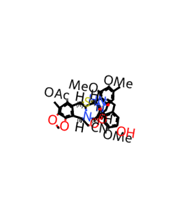 COc1cc2c(cc1O)CCN[C@]21CS[C@@H]2c3c(OC(C)=O)c(C)c4c(c3[C@H](COC1=O)N1C2[C@@H]2c3c(cc(C)c(OC)c3OC)C[C@H]([C@@H]1C#N)N2C)OCO4